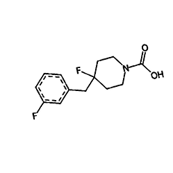 O=C(O)N1CCC(F)(Cc2cccc(F)c2)CC1